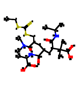 CCSC(=S)SCC(CC(CC(C(=O)NC(C)C)C(C)(C)C(=O)O)C(=O)NC(C)C(=O)O)C(=O)N(C)C